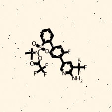 CC(C)(C)N(OC(=O)C(F)(F)F)S(=O)(=O)c1ccccc1-c1ccc(-c2cnc(N)c(C(F)(F)F)c2)c(F)c1